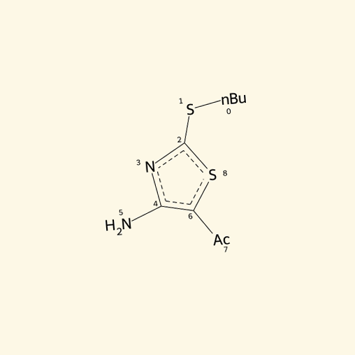 CCCCSc1nc(N)c(C(C)=O)s1